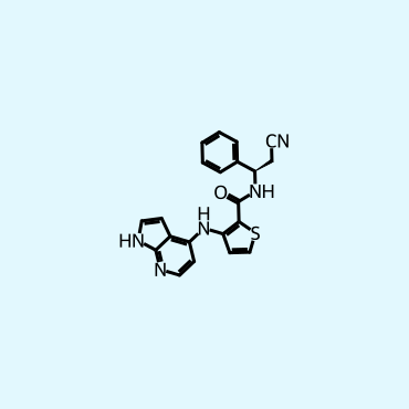 N#CC[C@@H](NC(=O)c1sccc1Nc1ccnc2[nH]ccc12)c1ccccc1